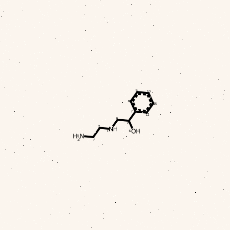 NCCNCC(O)c1ccccc1